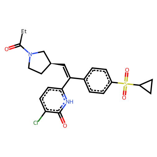 CCC(=O)N1CC[C@H](C=C(c2ccc(S(=O)(=O)C3CC3)cc2)c2ccc(Cl)c(=O)[nH]2)C1